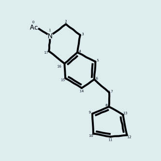 CC(=O)N1CCc2cc([CH]c3ccccc3)ccc2C1